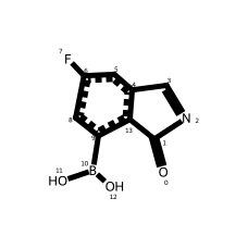 O=C1N=Cc2cc(F)cc(B(O)O)c21